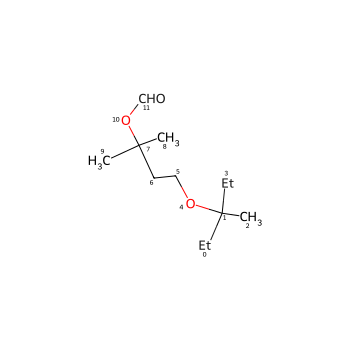 CCC(C)(CC)OCCC(C)(C)OC=O